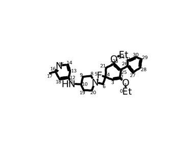 CCOC1=CC(F)(CN2CCC(Nc3ccnc(C)c3)CC2)CC(OCC)=C1c1ccccc1